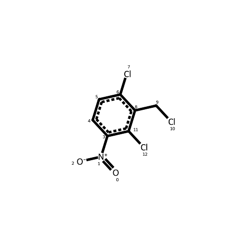 O=[N+]([O-])c1ccc(Cl)c(CCl)c1Cl